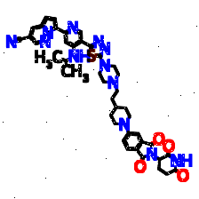 CC(C)Nc1cc(-c2ccc3cc(C#N)cnn23)ncc1-c1nnc(N2CCN(CCC3CCN(c4ccc5c(c4)C(=O)N(C4CCC(=O)NC4=O)C5=O)CC3)CC2)s1